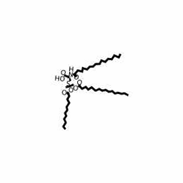 CCCCCCCCCCCCCCCC(=O)N[C@@H](CSC(C)(COC(=O)CCCCCCCCCCCCCCC)OC(=O)CCCCCCCCCCC)C(=O)O